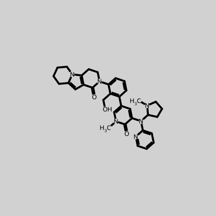 CN1CCCC1N(c1ccccn1)c1cc(-c2cccc(N3CCc4c(cc5n4CCCC5)C3=O)c2CO)cn(C)c1=O